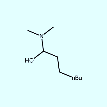 CCCCCCC(O)N(C)C